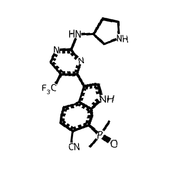 CP(C)(=O)c1c(C#N)ccc2c(-c3nc(NC4CCNC4)ncc3C(F)(F)F)c[nH]c12